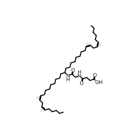 CCCCC/C=C\C/C=C\CCCCCCCCC(CCCCCCCC/C=C\C/C=C\CCCCC)NC(=O)CNC(=O)CCC(=O)O